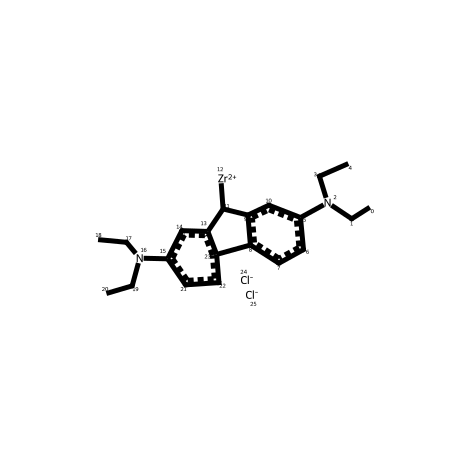 CCN(CC)c1ccc2c(c1)[CH]([Zr+2])c1cc(N(CC)CC)ccc1-2.[Cl-].[Cl-]